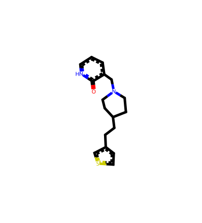 O=c1[nH]cccc1CN1CCC(CCc2ccsc2)CC1